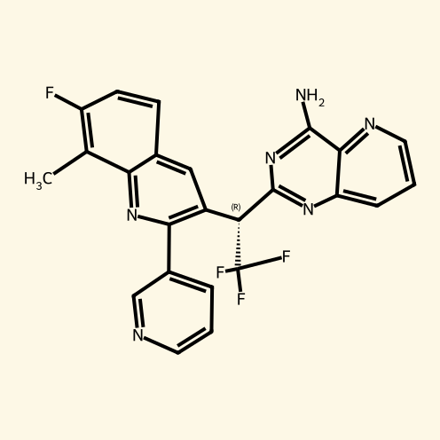 Cc1c(F)ccc2cc([C@H](c3nc(N)c4ncccc4n3)C(F)(F)F)c(-c3cccnc3)nc12